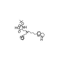 CC(C)(C)OC(=O)NC(CCN(CCCCc1ccc2c(n1)NCCC2)CCn1cccn1)C(=O)O